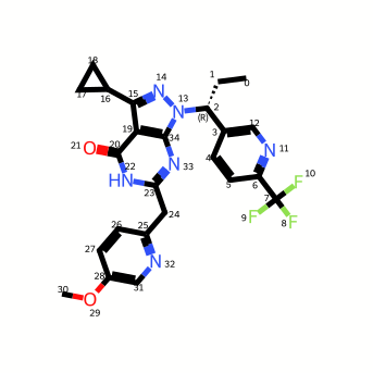 CC[C@H](c1ccc(C(F)(F)F)nc1)n1nc(C2CC2)c2c(=O)[nH]c(Cc3ccc(OC)cn3)nc21